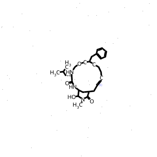 CC(C)C[C@@H]1NCOCC(Cc2ccccc2)CCCC/C=C/CC2CC(NC1=O)C(O)N(C)C2=O